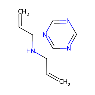 C=CCNCC=C.c1ncncn1